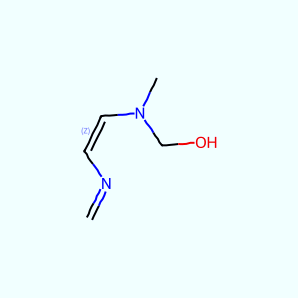 C=N/C=C\N(C)CO